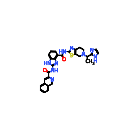 CC(c1ncc[nH]1)N1CCc2nc(NC(=O)c3cccc4[nH]c(NC(=O)c5cc6ccccc6cn5)nc34)sc2C1